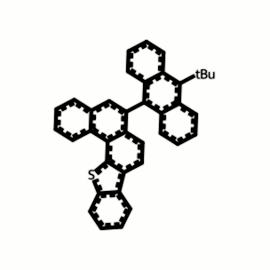 CC(C)(C)c1c2ccccc2c(-c2cc3ccccc3c3c2ccc2c4ccccc4sc23)c2ccccc12